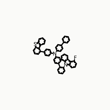 Fc1cccc2c1c1ccccc1n2-c1ccccc1-c1ccc(N(c2ccc(-c3ccccc3)cc2)c2ccc(-c3cccc4sc5ccccc5c34)cc2)cc1